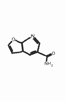 NC(=O)C1=CC2C=COC2N=C1